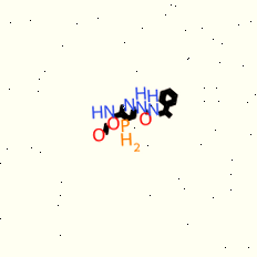 COCCOC(=N)c1cnc(NC(=O)NCC(C)c2ccccc2)cc1P